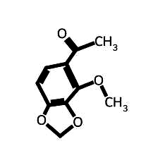 COc1c(C(C)=O)ccc2c1OCO2